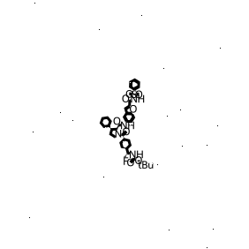 CC(C)(C)OC(=O)N[C@H](CF)[C@H]1CC[C@H](C(=O)N2CC[C@@H](C3CCCCC3)[C@H]2C(=O)Nc2ccc3oc(C(=O)NS(=O)(=O)c4ccccc4)cc3c2)CC1